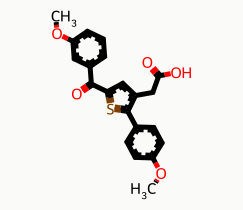 COc1ccc(-c2sc(C(=O)c3cccc(OC)c3)cc2CC(=O)O)cc1